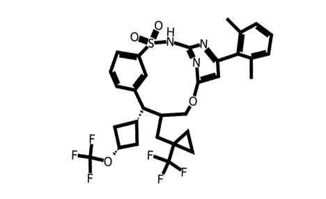 Cc1cccc(C)c1-c1cc2nc(n1)NS(=O)(=O)c1cccc(c1)C([C@H]1C[C@@H](OC(F)(F)F)C1)C(CC1(C(F)(F)F)CC1)CO2